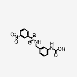 O=C(O)Nc1cccc(CNS(=O)(=O)c2cccc([N+](=O)[O-])c2)c1